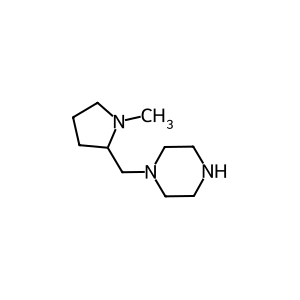 CN1CCCC1CN1CCNCC1